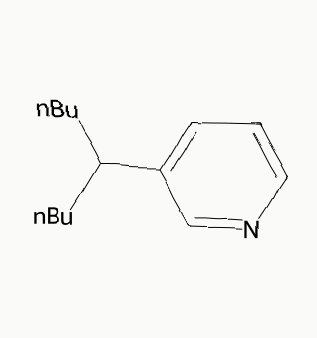 CCCCC(CCCC)c1cccnc1